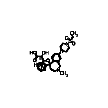 CCS(=O)(=O)N1CCN(c2ccc3c(c2)CN(C)CCC3(O[C@@H](C(=O)O)[C@@H](O)C(=O)O)c2ccccc2)CC1